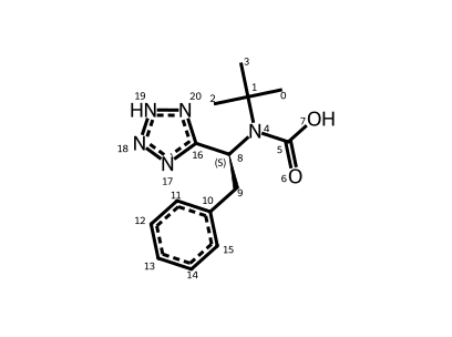 CC(C)(C)N(C(=O)O)[C@@H](Cc1ccccc1)c1nn[nH]n1